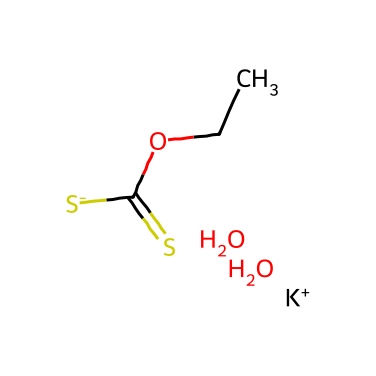 CCOC(=S)[S-].O.O.[K+]